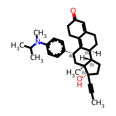 CC#C[C@]1(O)CC[C@H]2[C@@H]3CCC4=CC(=O)CCC4=C3[C@@H](c3ccc(N(C)C(C)C)cc3)C[C@@]21C